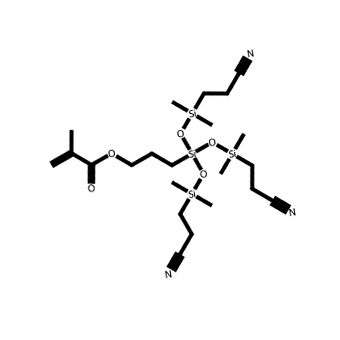 C=C(C)C(=O)OCCC[Si](O[Si](C)(C)CCC#N)(O[Si](C)(C)CCC#N)O[Si](C)(C)CCC#N